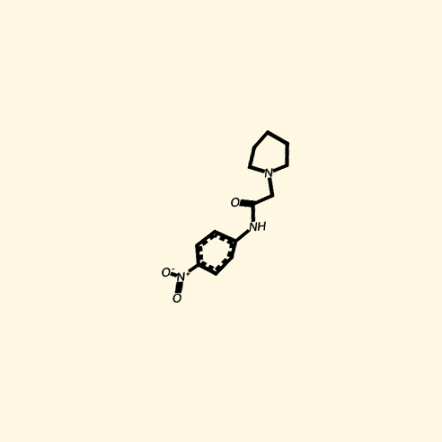 O=C(CN1CCCCC1)Nc1ccc([N+](=O)[O-])cc1